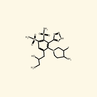 NCC(O)Cc1cc(S(N)(=O)=O)c(S(N)(=O)=O)c(-c2nn[nH]n2)c1N1CCC(N)C(F)C1